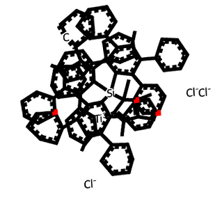 CC1=C(C)C(C)([Si](c2c(-c3ccccc3)c(-c3ccccc3)c(C)c(-c3ccccc3)c2-c2ccccc2)(c2c(-c3ccccc3)c(-c3ccccc3)c(C)c(-c3ccccc3)c2-c2ccccc2)c2c(-c3ccccc3)c(-c3ccccc3)c(C)c(-c3ccccc3)c2-c2ccccc2)[C]([Ti+3])=C1C.[Cl-].[Cl-].[Cl-]